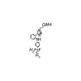 COCCn1cc(-c2ccccc2Nc2ccc(C(C)(F)P)cc2)nn1